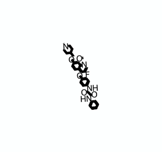 COc1c(OCC2CCN(C)CC2)ccc2c(Oc3ccc(NC(=O)C(=O)Nc4ccccc4)cc3F)ccnc12